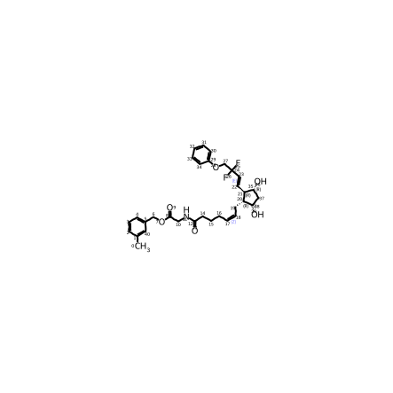 Cc1cccc(COC(=O)CNC(=O)CCC/C=C\C[C@@H]2[C@@H](/C=C/C(F)(F)COc3ccccc3)[C@H](O)C[C@@H]2O)c1